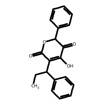 CCC(C1=C(O)C(=O)C(c2ccccc2)OC1=O)c1ccccc1